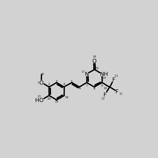 COc1cc(/C=C/c2cc(C(F)(F)F)[nH]c(=O)n2)ccc1O